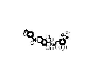 CCS(=O)(=O)c1cccc(CC(NC(=O)c2c(Cl)cc3c(c2Cl)CCN(C(=O)c2ccc4ccoc4c2)C3)C(=O)O)c1